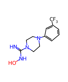 N=C(NO)N1CCN(c2cccc(C(F)(F)F)c2)CC1